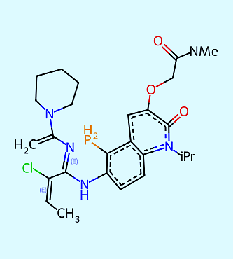 C=C(/N=C(Nc1ccc2c(cc(OCC(=O)NC)c(=O)n2C(C)C)c1P)\C(Cl)=C/C)N1CCCCC1